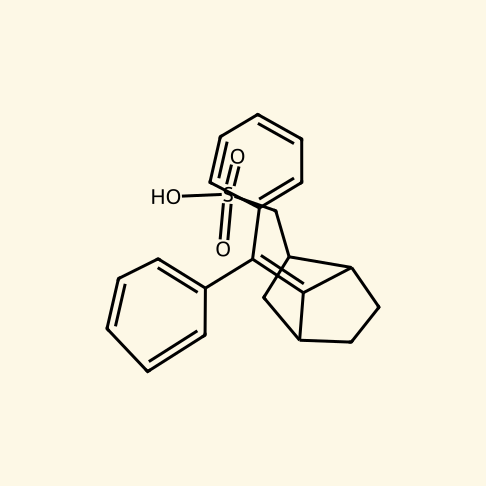 O=S(=O)(O)CC1CC2CCC1C2=C(c1ccccc1)c1ccccc1